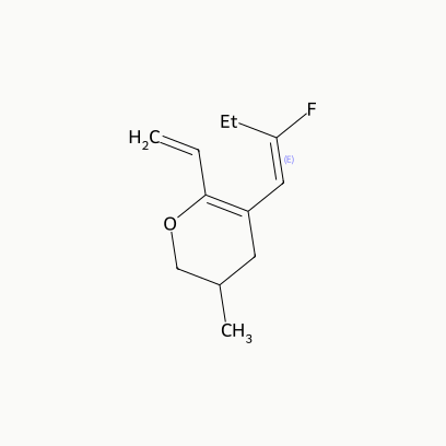 C=CC1=C(/C=C(/F)CC)CC(C)CO1